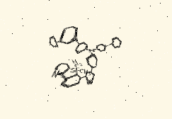 C[Si]1(C)c2cccnc2-c2cccc(-c3cccc(-c4ccc(N(c5ccc(-c6ccccc6)cc5)c5ccc(-c6cccc(-c7ccccc7)c6)cc5)cc4)c3)c21